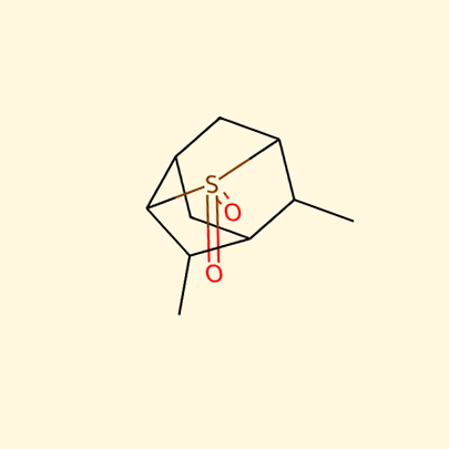 CC1C2CC3CC1S(=O)(=O)C3C2C